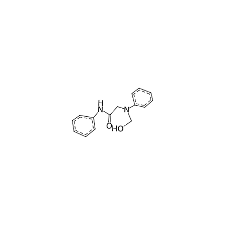 O=C(CN(CO)c1ccccc1)Nc1ccccc1